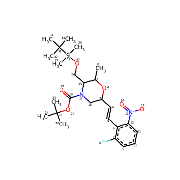 CC1OC(/C=C/c2c(F)cccc2[N+](=O)[O-])CN(C(=O)OC(C)(C)C)C1CO[Si](C)(C)C(C)(C)C